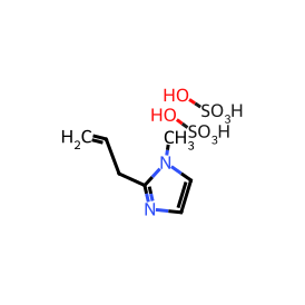 C=CCc1nccn1C.O=S(=O)(O)O.O=S(=O)(O)O